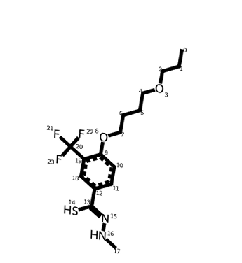 CCCOCCCCOc1ccc(/C(S)=N/NC)cc1C(F)(F)F